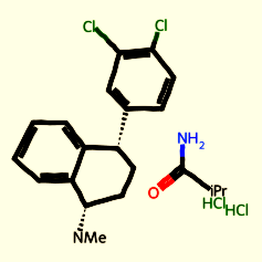 CC(C)C(N)=O.CN[C@H]1CC[C@@H](c2ccc(Cl)c(Cl)c2)c2ccccc21.Cl.Cl